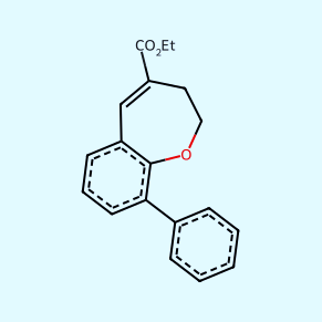 CCOC(=O)C1=Cc2cccc(-c3ccccc3)c2OCC1